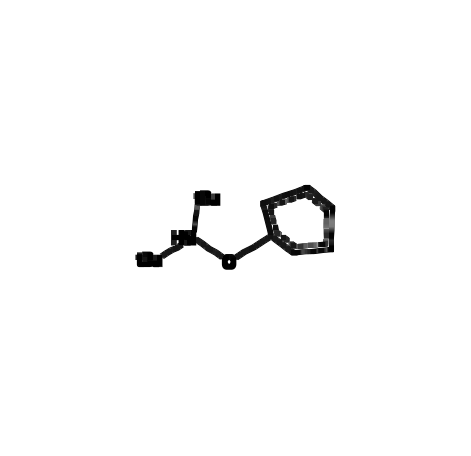 CC(C)(C)[SiH](Oc1ccccc1)C(C)(C)C